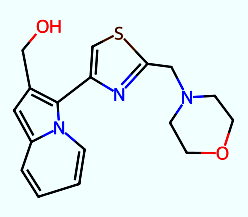 OCc1cc2ccccn2c1-c1csc(CN2CCOCC2)n1